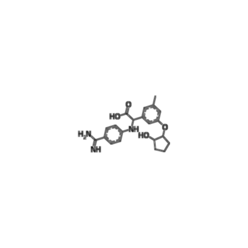 Cc1cc(OC2CCCC2O)cc(C(Nc2ccc(C(=N)N)cc2)C(=O)O)c1